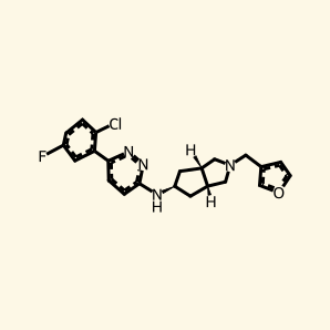 Fc1ccc(Cl)c(-c2ccc(N[C@H]3C[C@@H]4CN(Cc5ccoc5)C[C@@H]4C3)nn2)c1